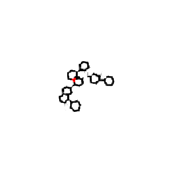 C1=c2oc3ccccc3c2=CCC1N(c1ccc(-c2ccc3ccc4oc5ccccc5c4c3c2)cc1)c1ccccc1-c1ccccc1